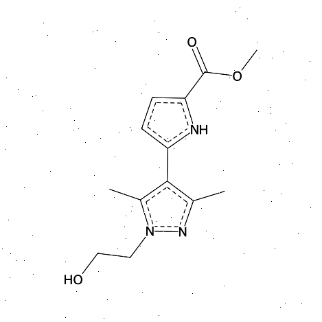 COC(=O)c1ccc(-c2c(C)nn(CCO)c2C)[nH]1